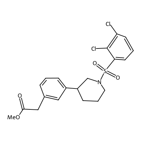 COC(=O)Cc1cccc(C2CCCN(S(=O)(=O)c3cccc(Cl)c3Cl)C2)c1